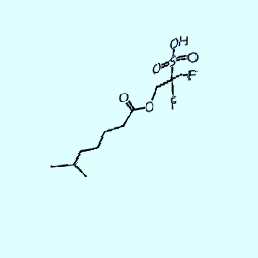 CC(C)CCCCC(=O)OCC(F)(F)S(=O)(=O)O